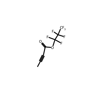 CC#CC(=O)OC(F)(F)C(F)(F)C(F)(F)F